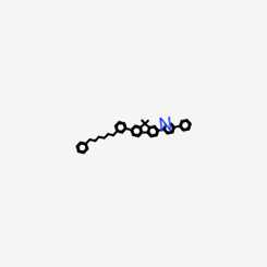 CC1(C)c2cc(-c3cccc(CCCCCCc4ccccc4)c3)ccc2-c2ccc(-c3ccc(-c4ccccc4)cn3)cc21